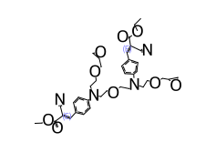 CCOC(=O)/C(C#N)=C/c1ccc(N(CCOCCN(CCOCC2CO2)c2ccc(/C=C(\C#N)C(=O)OCC)cc2)CCOCC2CO2)cc1